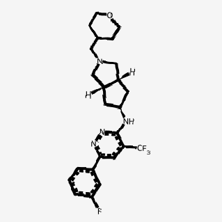 Fc1cccc(-c2cc(C(F)(F)F)c(N[C@H]3C[C@@H]4CN(CC5CCOCC5)C[C@@H]4C3)nn2)c1